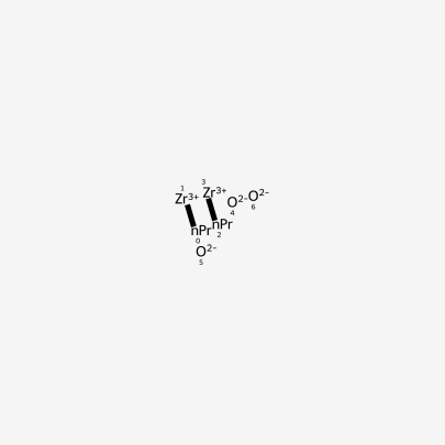 CC[CH2][Zr+3].CC[CH2][Zr+3].[O-2].[O-2].[O-2]